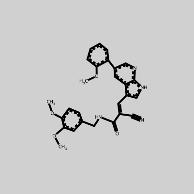 COc1ccc(CNC(=O)/C(C#N)=C/c2c[nH]c3ncc(-c4ccccc4OC)cc23)cc1OC